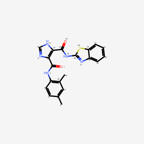 Cc1ccc(NC(=O)c2nc[nH]c2C(=O)Nc2nc3ccccc3s2)c(C)c1